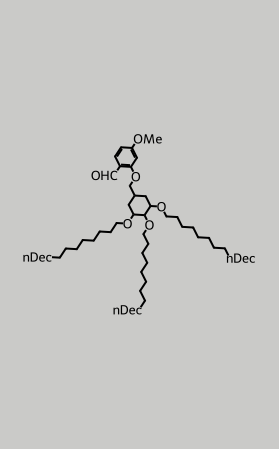 CCCCCCCCCCCCCCCCCCOC1CC(COc2cc(OC)ccc2C=O)CC(OCCCCCCCCCCCCCCCCCC)C1OCCCCCCCCCCCCCCCCCC